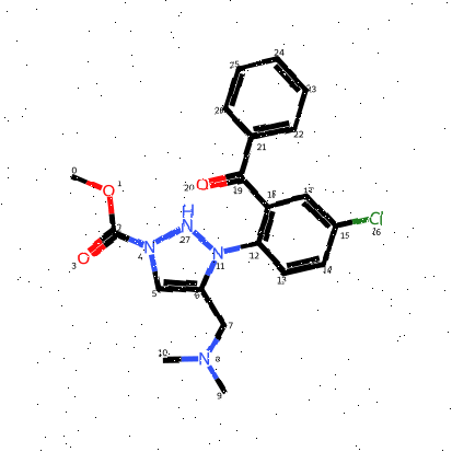 COC(=O)N1C=C(CN(C)C)N(c2ccc(Cl)cc2C(=O)c2ccccc2)N1